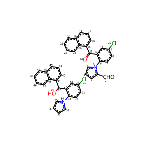 O=Cc1cccn1-c1ccc(Cl)cc1C(=O)c1cccc2ccccc12.OC(c1cc(Cl)ccc1-n1cccc1)c1cccc2ccccc12